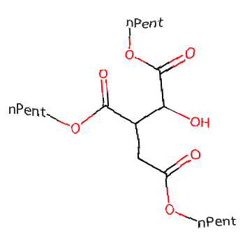 CCCCCOC(=O)CC(C(=O)OCCCCC)C(O)C(=O)OCCCCC